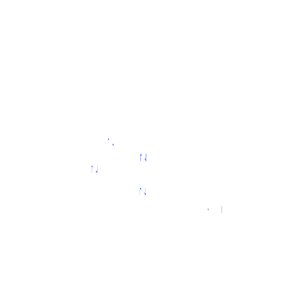 CCCCc1n[c]c2ncn(Cc3ccccc3)c2n1